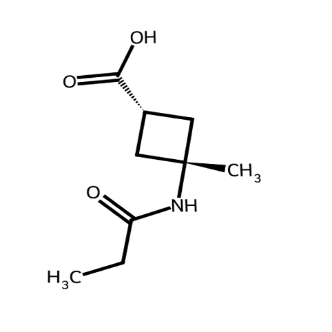 CCC(=O)N[C@]1(C)C[C@H](C(=O)O)C1